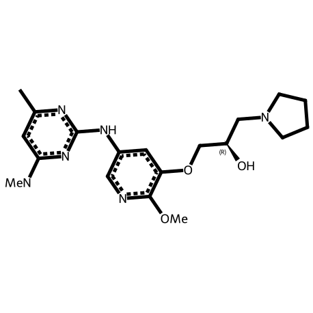 CNc1cc(C)nc(Nc2cnc(OC)c(OC[C@H](O)CN3CCCC3)c2)n1